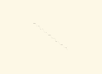 [CH2]C(C)CCCCCCCCCCCCCCCCC